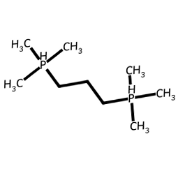 C[PH](C)(C)CCC[PH](C)(C)C